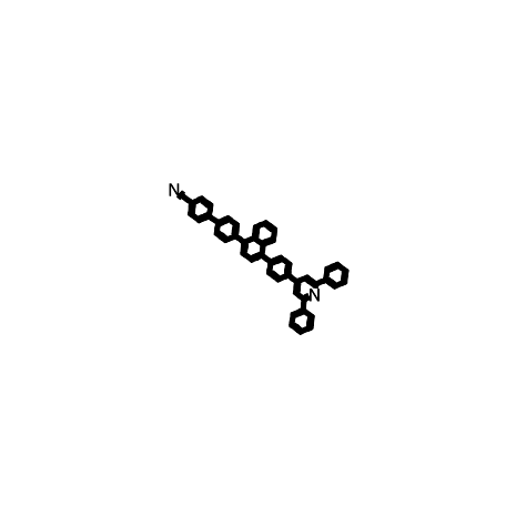 N#Cc1ccc(-c2ccc(-c3ccc(-c4ccc(-c5cc(-c6ccccc6)nc(-c6ccccc6)c5)cc4)c4ccccc34)cc2)cc1